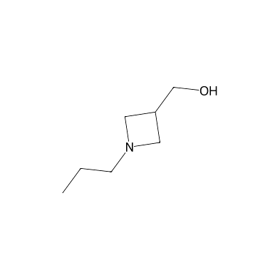 CCCN1CC(CO)C1